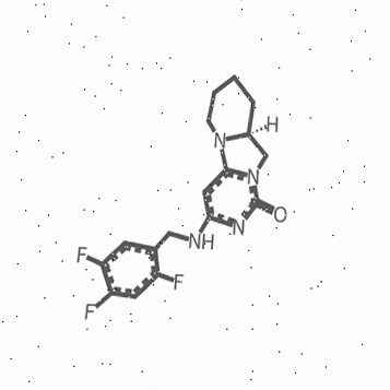 O=c1nc(NCc2cc(F)c(F)cc2F)cc2n1C[C@@H]1CCCCN21